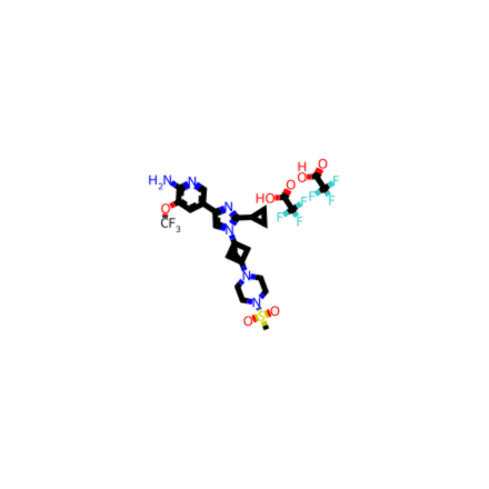 CS(=O)(=O)N1CCN(C23CC(n4cc(-c5cnc(N)c(OC(F)(F)F)c5)nc4C4CC4)(C2)C3)CC1.O=C(O)C(F)(F)F.O=C(O)C(F)(F)F